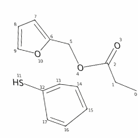 CCC(=O)OCc1ccco1.Sc1ccccc1